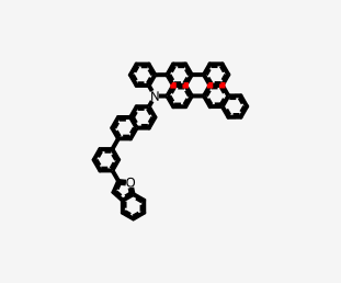 c1ccc(-c2ccc(-c3ccccc3N(c3ccc(-c4ccc5ccccc5c4)cc3)c3ccc4cc(-c5cccc(-c6cc7ccccc7o6)c5)ccc4c3)cc2)cc1